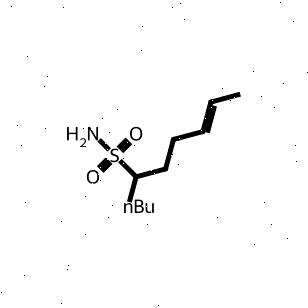 CC=CCCC(CCCC)S(N)(=O)=O